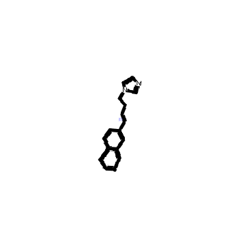 C(=C\c1ccc2ccccc2c1)/CCn1ccnc1